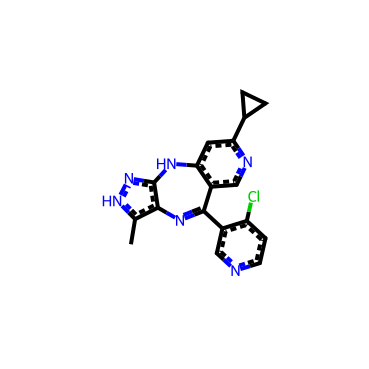 Cc1[nH]nc2c1N=C(c1cnccc1Cl)c1cnc(C3CC3)cc1N2